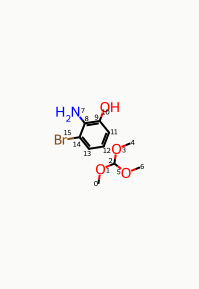 COC(OC)OC.Nc1c(O)cccc1Br